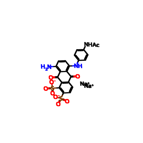 CC(=O)Nc1ccc(Nc2ccc(N)c3c2C(=O)c2ccc(S(=O)(=O)[O-])c(S(=O)(=O)[O-])c2C3=O)cc1.[Na+].[Na+]